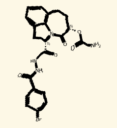 NC(=O)O[C@H]1CCc2cccc3c2N(C1=O)[C@H](C(=O)NNC(=O)c1ccc(Br)cc1)C3